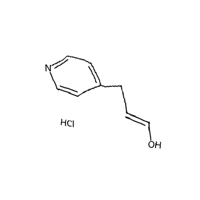 Cl.OC=CCc1ccncc1